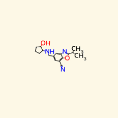 CC(C)c1nc2cc(CN[C@H]3CCC[C@H]3O)cc(C#N)c2o1